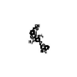 Cc1cc(OC[C@@H]2CN(C)c3ccccc3O2)cc(C)c1C(=O)Nc1cc(CC(=O)O)ccc1Cl